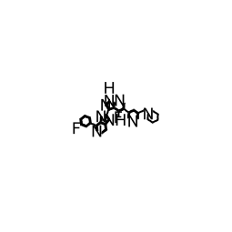 Fc1cccc(-c2nccc3[nH]c(-c4n[nH]c5ncc(-c6cncc(CN7CCCCC7)c6)c(F)c45)nc23)c1